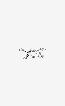 NC=O.O.O.O=S(=O)(O)O